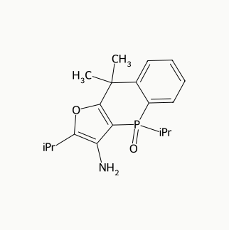 CC(C)c1oc2c(c1N)P(=O)(C(C)C)c1ccccc1C2(C)C